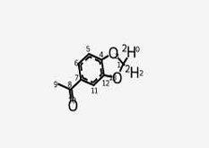 [2H]C1([2H])Oc2ccc(C(C)=O)cc2O1